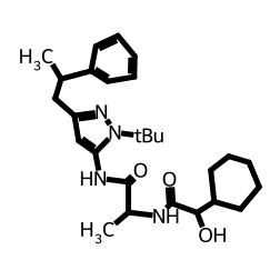 CC(NC(=O)C(O)C1CCCCC1)C(=O)Nc1cc(CC(C)c2ccccc2)nn1C(C)(C)C